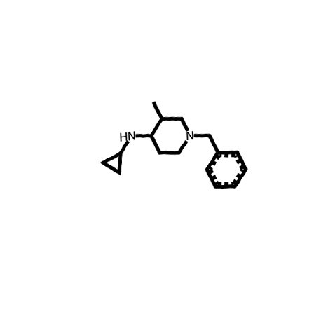 CC1CN(Cc2ccccc2)CCC1NC1CC1